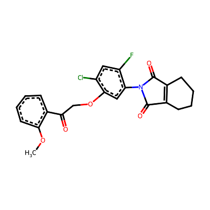 COc1ccccc1C(=O)COc1cc(N2C(=O)C3=C(CCCC3)C2=O)c(F)cc1Cl